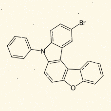 Brc1ccc2c(c1)c1c3c(ccc1n2-c1ccccc1)oc1ccccc13